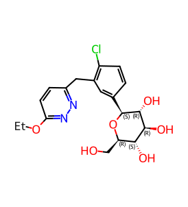 CCOc1ccc(Cc2cc([C@@H]3O[C@H](CO)[C@@H](O)[C@H](O)[C@H]3O)ccc2Cl)nn1